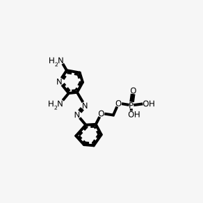 Nc1ccc(/N=N/c2ccccc2OCOP(=O)(O)O)c(N)n1